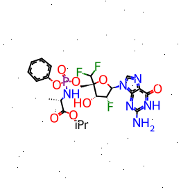 CC(C)OC(=O)[C@H](C)NP(=O)(OC[C@@]1(C(F)F)O[C@@H](n2cnc3c(=O)[nH]c(N)nc32)[C@H](F)[C@@H]1O)Oc1ccccc1